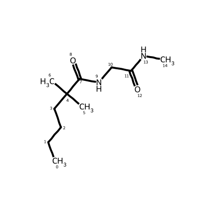 CCCCC(C)(C)C(=O)NCC(=O)NC